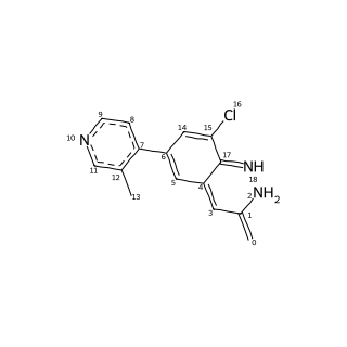 C=C(N)/C=C1/C=C(c2ccncc2C)C=C(Cl)C1=N